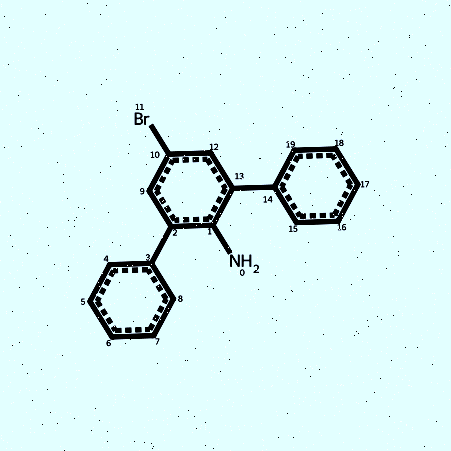 Nc1c(-c2ccccc2)cc(Br)cc1-c1ccccc1